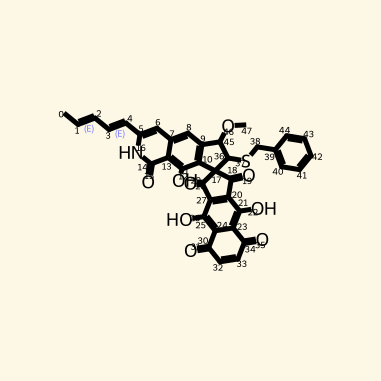 C/C=C/C=C/c1cc2cc3c(c(O)c2c(=O)[nH]1)C1(C(=O)c2c(O)c4c(c(O)c2C1=O)C(=O)C=CC4=O)C(SCc1ccccc1)C3OC